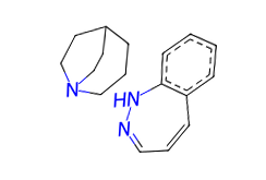 C1=Cc2ccccc2NN=C1.C1CC2CCN(C1)CC2